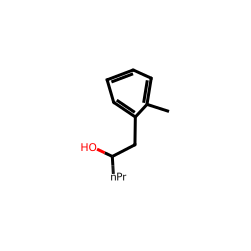 CCCC(O)Cc1ccccc1C